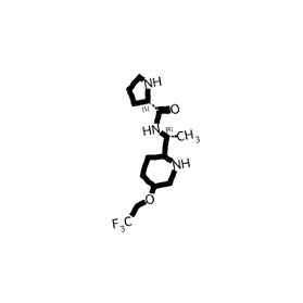 C[C@@H](NC(=O)[C@@H]1CCCN1)C1CCC(OCC(F)(F)F)CN1